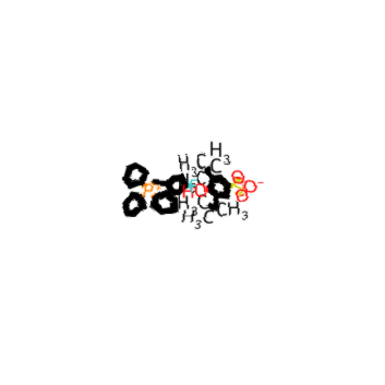 CC(C)(C)c1cc(S(=O)(=O)[O-])cc(C(C)(C)C)c1O.Fc1ccc(C[P+](c2ccccc2)(c2ccccc2)c2ccccc2)cc1